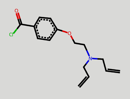 C=CCN(CC=C)CCOc1ccc(C(=O)Cl)cc1